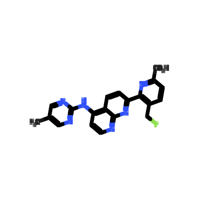 O=C(O)c1ccc(CF)c(-c2ccc3c(Nc4ncc(C(F)(F)F)cn4)ccnc3n2)n1